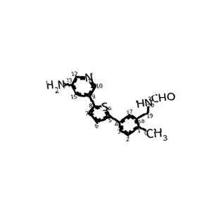 Cc1ccc(-c2ccc(-c3cncc(N)c3)s2)cc1CNC=O